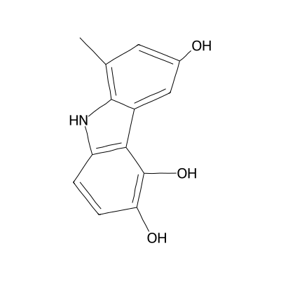 Cc1cc(O)cc2c1[nH]c1ccc(O)c(O)c12